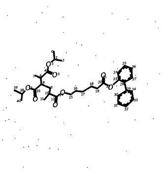 CC(C)OC(=O)C(C)C(CC(C)C(=O)OCCCCCC(=O)Oc1ccccc1-c1ccccc1)C(=O)OC(C)C